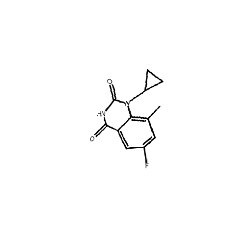 Cc1cc(F)cc2c(=O)[nH]c(=O)n(C3CC3)c12